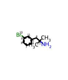 CC(C)(N)Cc1cccc(Br)c1